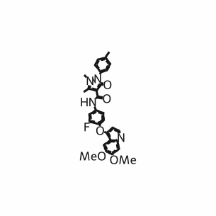 COc1cc2nccc(Oc3ccc(NC(=O)c4c(C)n(C)n(-c5ccc(C)cc5)c4=O)cc3F)c2cc1OC